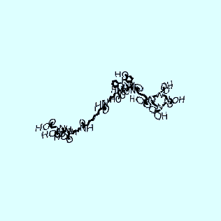 O=C(O)CC[C@H](NC(=O)N[C@@H](CCCCNC(=O)CCCCCCC(=O)NCCCC[C@@H](NC(=O)[C@@H](Cc1ccccc1)NC(=O)/C(Cc1ccc(O)c(I)c1)=N/C(=O)CCC(C(=O)O)N1CCN(CC(=O)O)CCN(CC(=O)O)CCN(CC(=O)O)CC1)C(=O)O)C(=O)O)C(=O)O